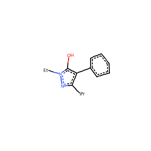 CCn1nc(C(C)C)c(-c2ccccc2)c1O